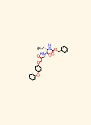 CC(C)C[C@H](NC(=O)OCc1ccccc1)C(=O)NCC(=O)COc1ccc(Oc2ccccc2)cc1